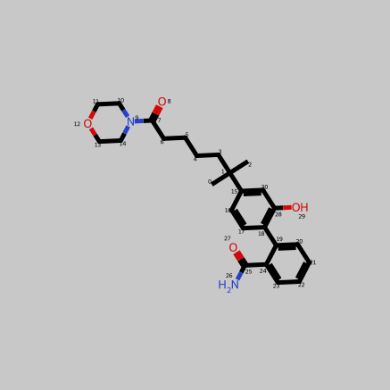 CC(C)(CCCCC(=O)N1CCOCC1)c1ccc(-c2ccccc2C(N)=O)c(O)c1